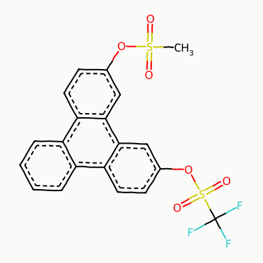 CS(=O)(=O)Oc1ccc2c3ccccc3c3ccc(OS(=O)(=O)C(F)(F)F)cc3c2c1